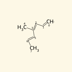 [CH]=CC=C(C)C=CC